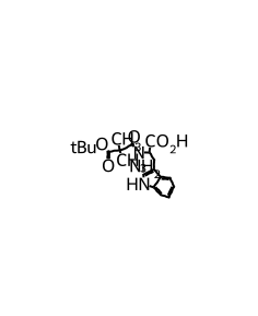 CC(C)(C)OC(=O)C(C)(C)C(=O)N(N)C(Cc1c[nH]c2ccccc12)C(=O)O